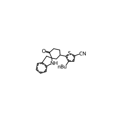 CCCCc1cc(C#N)sc1C1CCC(=O)C2(Cc3ccccc3N2)C1